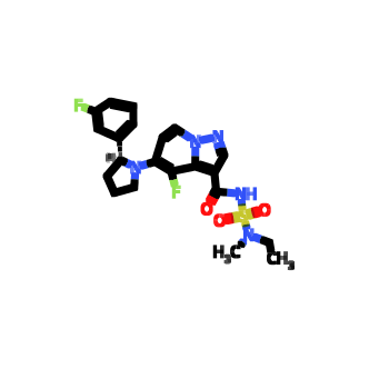 CCN(C)S(=O)(=O)NC(=O)c1cnn2ccc(N3CCC[C@@H]3c3cccc(F)c3)c(F)c12